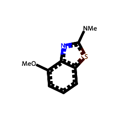 CNc1nc2c(OC)cccc2s1